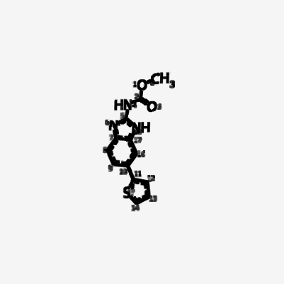 COC(=O)Nc1nc2ccc(-c3cccs3)cc2[nH]1